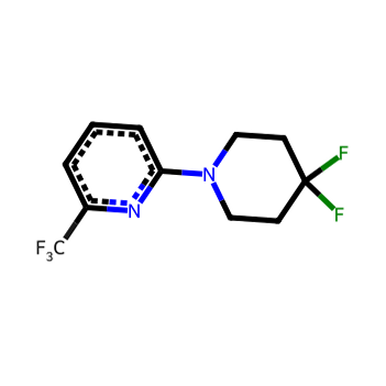 FC1(F)CCN(c2cccc(C(F)(F)F)n2)CC1